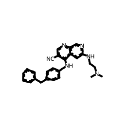 CN(C)CCNc1cc2c(Nc3ccc(Cc4ccccc4)cc3)c(C#N)cnc2cn1